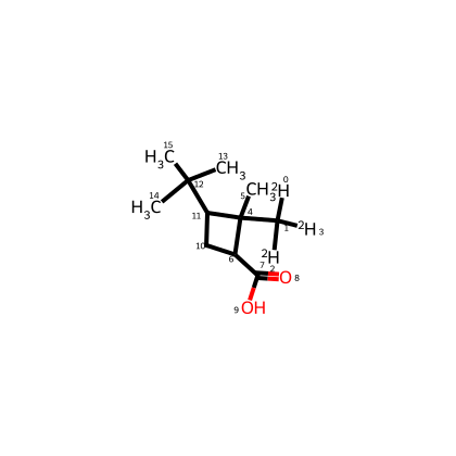 [2H]C([2H])([2H])C1(C)C(C(=O)O)CC1C(C)(C)C